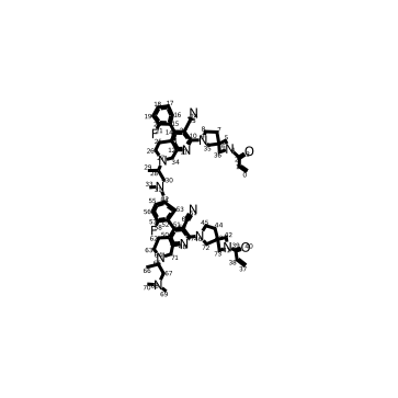 C=CC(=O)N1CC2(CCN(c3nc4c(c(-c5ccccc5F)c3C#N)CCN(C(C)CN(C)C)C4)C2)C1.C=CC(=O)N1CC2(CCN(c3nc4c(c(-c5ccccc5F)c3C#N)CCN(C(C)CN(C)C)C4)C2)C1